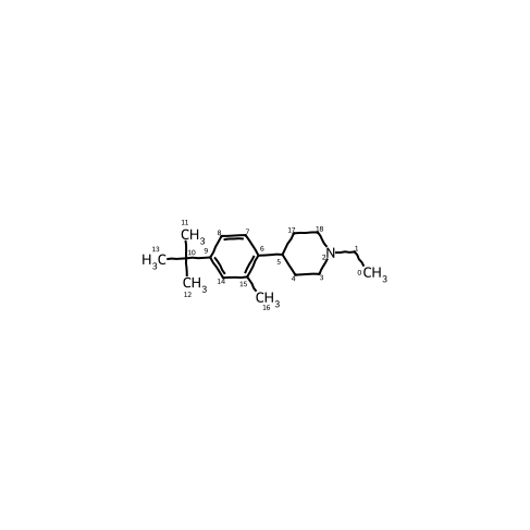 CCN1CCC(c2ccc(C(C)(C)C)cc2C)CC1